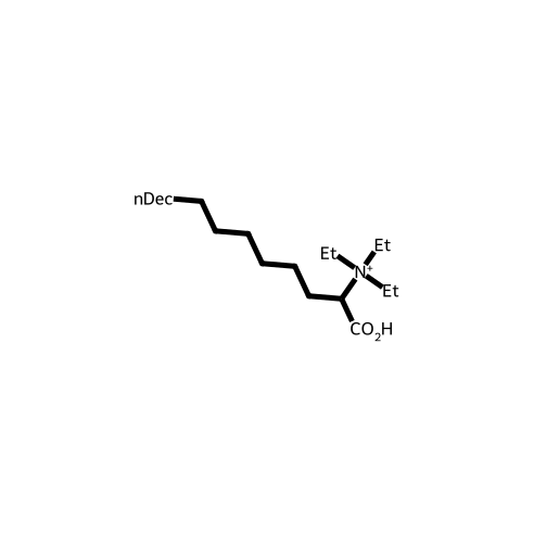 CCCCCCCCCCCCCCCCC(C(=O)O)[N+](CC)(CC)CC